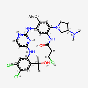 COc1cc(N2CC[C@@H](N(C)C)C2)c(NC(=O)CCCl)cc1Nc1nccc(Nc2cc(Cl)c(Cl)cc2C(C)(C)O)n1